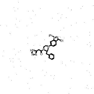 CCc1nn(C(C)C)c2cc(N3CCN(C(=O)Cc4nnc[nH]4)C(Cc4ccccc4)C3)ccc12